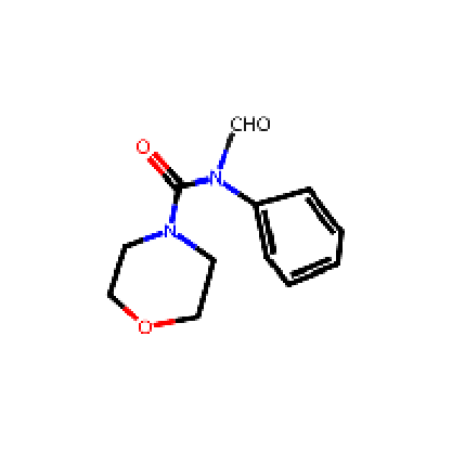 O=CN(C(=O)N1CCOCC1)c1ccccc1